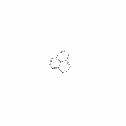 CC12CC=Cc3cccc(c31)CCC2